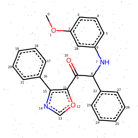 COc1cccc(NC(C(=O)c2ocnc2-c2ccccc2)c2ccccc2)c1